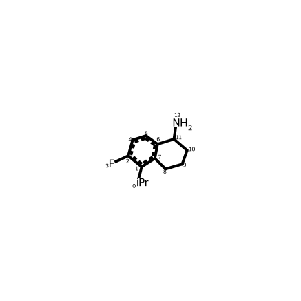 CC(C)c1c(F)ccc2c1CCCC2N